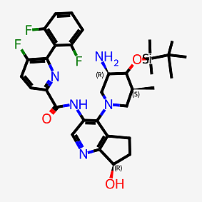 C[C@H]1CN(c2c(NC(=O)c3ccc(F)c(-c4c(F)cccc4F)n3)cnc3c2CC[C@H]3O)C[C@@H](N)C1O[Si](C)(C)C(C)(C)C